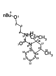 CCCCOCCCNC(=O)N1c2ccccc2C(C)CC1(C)C